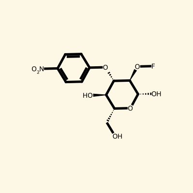 O=[N+]([O-])c1ccc(O[C@H]2[C@H](O)[C@@H](CO)O[C@@H](O)[C@@H]2OF)cc1